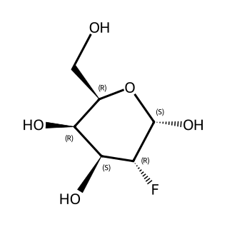 OC[C@H]1O[C@H](O)[C@H](F)[C@@H](O)[C@H]1O